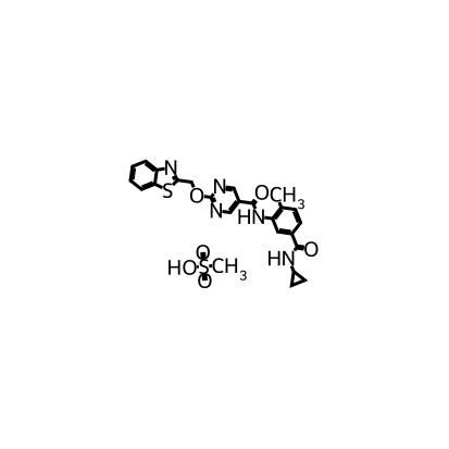 CS(=O)(=O)O.Cc1ccc(C(=O)NC2CC2)cc1NC(=O)c1cnc(OCc2nc3ccccc3s2)nc1